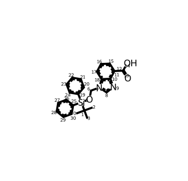 CC(C)(C)[Si](OCn1cnc2c(C(=O)O)cccc21)(c1ccccc1)c1ccccc1